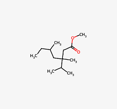 CCC(C)CC(C)(CC(=O)OC)C(C)C